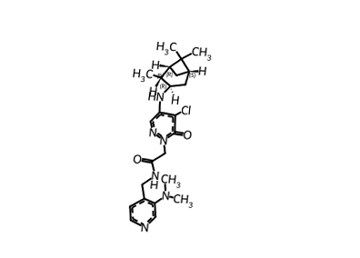 C[C@@H]1[C@H]2C[C@@H](C[C@H]1Nc1cnn(CC(=O)NCc3ccncc3N(C)C)c(=O)c1Cl)C2(C)C